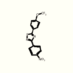 O=[N+]([O-])c1ccc(-c2nsc(-c3ccc(OC(F)(F)F)cc3)n2)cc1